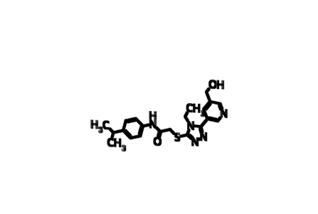 CCn1c(SCC(=O)Nc2ccc(C(C)C)cc2)nnc1-c1cncc(CO)c1